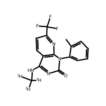 [2H]C([2H])([2H])Nc1nc(=O)n(-c2ccccc2C)c2nc(C(F)(F)F)ccc12